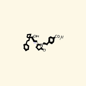 O=C(O)c1ccc(CCN2C(=O)CC[C@@H]2/C=C/[C@@H](O)C2(CCc3ccccc3)CCC2)cc1